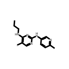 CCCNc1nc(Nc2ccc(C)nc2)ncc1I